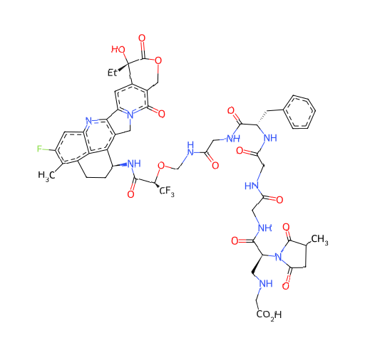 CC[C@@]1(O)C(=O)OCc2c1cc1n(c2=O)Cc2c-1nc1cc(F)c(C)c3c1c2[C@@H](NC(=O)[C@@H](OCNC(=O)CNC(=O)[C@H](Cc1ccccc1)NC(=O)CNC(=O)CNC(=O)[C@H](CNCC(=O)O)N1C(=O)CC(C)C1=O)C(F)(F)F)CC3